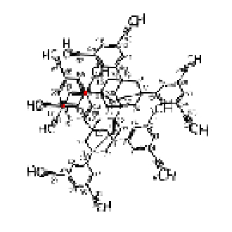 C#Cc1cc(C#C)cc(C23CC4(c5cc(C#C)cc(C#C)c5)CC(c5cc(C#C)cc(C#C)c5)(C2)CC(C25CC6(c7cc(C#C)cc(C#C)c7)CC(c7cc(C#C)cc(C#C)c7)(CC(c7cc(C#C)cc(C#C)c7)(C6)C2)C5)(C3)C4)c1